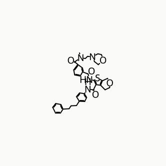 CN(CCN1CCOCC1)C(=O)c1cccc(C(=O)Nc2sc3c(c2C(=O)Nc2ccc(CCCc4ccccc4)cc2)CCOC3)c1